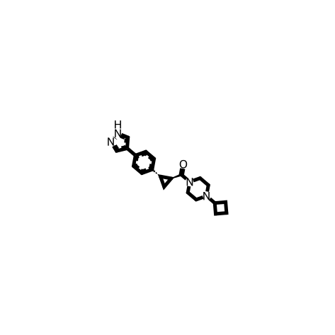 O=C([C@H]1C[C@@H]1c1ccc(-c2cn[nH]c2)cc1)N1CCN(C2CCC2)CC1